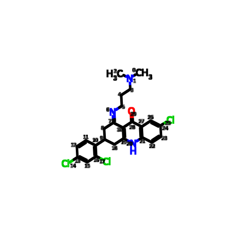 CN(C)CCC/N=C1/CC(c2ccc(Cl)cc2Cl)Cc2[nH]c3ccc(Cl)cc3c(=O)c21